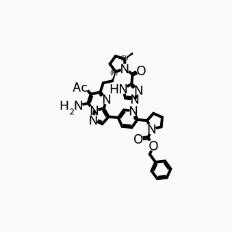 CC(=O)c1c(CC[C@H]2CC[C@@H](C)N2C(=O)c2nnc[nH]2)nc2c(-c3ccc(C4CCCN4C(=O)OCc4ccccc4)nc3)cnn2c1N